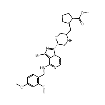 COC(=O)[C@@H]1CCCN1C[C@@H]1CO[C@@H](c2nc(Br)c3c(NCc4ccc(OC)cc4OC)nccn23)CN1